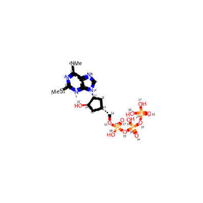 CNc1nc(SC)nc2c1ncn2[C@@H]1C[C@H](COP(=O)(O)OP(=O)(O)OP(=O)(O)O)C[C@H]1O